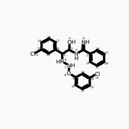 N=C(NC(O)C(NNOc1cccc(Cl)c1)c1cccc(Cl)c1)c1ccccc1